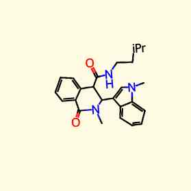 CC(C)CCNC(=O)C1c2ccccc2C(=O)N(C)C1c1cn(C)c2ccccc12